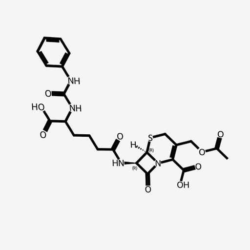 CC(=O)OCC1=C(C(=O)O)N2C(=O)[C@@H](NC(=O)CCCC(NC(=O)Nc3ccccc3)C(=O)O)[C@H]2SC1